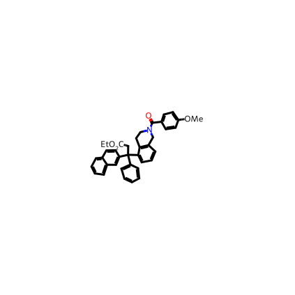 CCOC(=O)CC(c1ccccc1)(c1ccc2ccccc2c1)c1cccc2c1CCN(C(=O)c1ccc(OC)cc1)C2